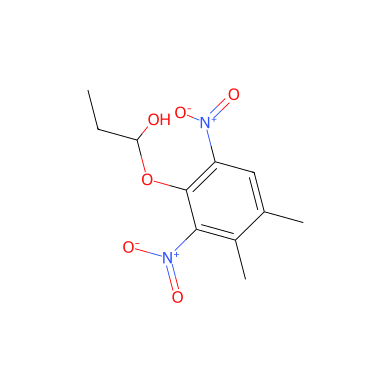 CCC(O)Oc1c([N+](=O)[O-])cc(C)c(C)c1[N+](=O)[O-]